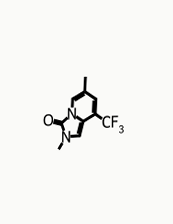 Cc1cc(C(F)(F)F)c2cn(C)c(=O)n2c1